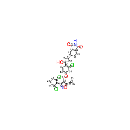 O=C1NC(=O)c2cc(C3CC(O)(c4ccc(OCc5c(-c6c(Cl)cccc6Cl)noc5C5CC5)cc4Cl)C3)ccc21